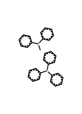 CP(c1ccccc1)c1ccccc1.c1ccc(P(c2ccccc2)c2ccccc2)cc1